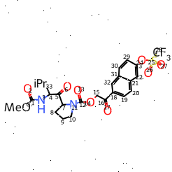 COC(=O)NC(C(=O)C1CCCN1C(=O)OCC(=O)c1ccc2cc(OS(=O)(=O)C(F)(F)F)ccc2c1)C(C)C